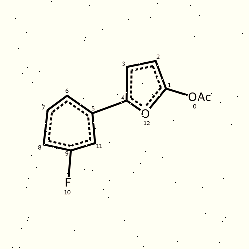 CC(=O)Oc1ccc(-c2cccc(F)c2)o1